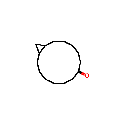 O=C1CCCCCCC2CC2CCCCC1